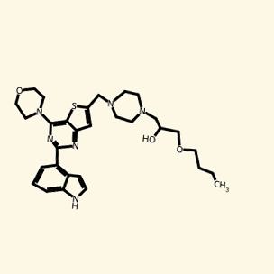 CCCCOCC(O)CN1CCN(Cc2cc3nc(-c4cccc5[nH]ccc45)nc(N4CCOCC4)c3s2)CC1